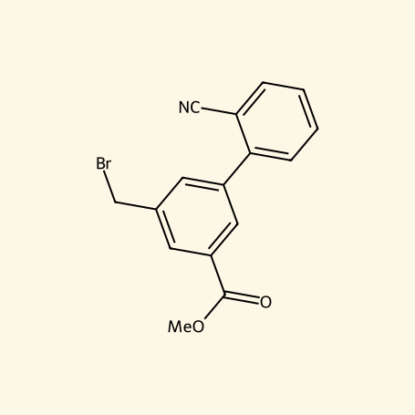 COC(=O)c1cc(CBr)cc(-c2ccccc2C#N)c1